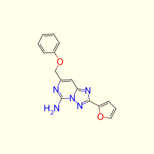 Nc1nc(COc2ccccc2)cc2nc(-c3ccco3)nn12